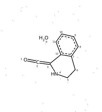 O.O=C=C1NCCc2ccccc21